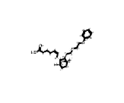 O=C(O)CCC/C=C\C[C@@H]1[C@@H](CCSCCOc2ccccc2)[C@@H]2CC[C@H]1O2